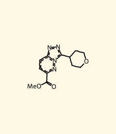 COC(=O)c1ccc2nnc(C3CCOCC3)n2n1